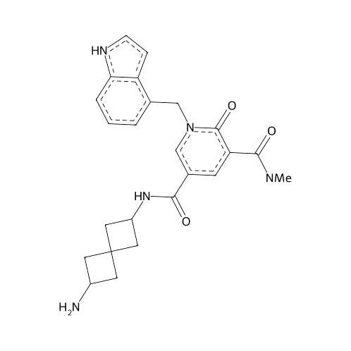 CNC(=O)c1cc(C(=O)NC2CC3(CC(N)C3)C2)cn(Cc2cccc3[nH]ccc23)c1=O